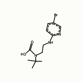 CC(C)(C)N(CCNc1ccc(Br)cn1)C(=O)O